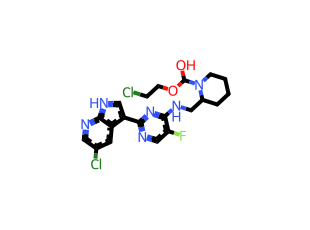 OC(OCCCl)N1CCCCC1CNc1nc(-c2c[nH]c3ncc(Cl)cc23)ncc1F